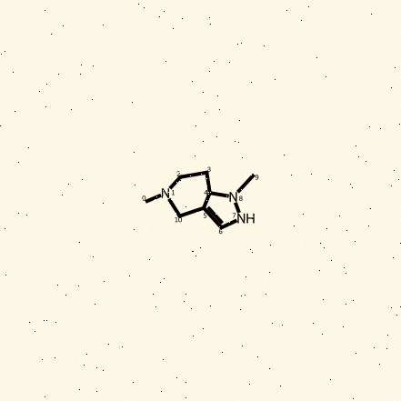 CN1CCC2C(=CNN2C)C1